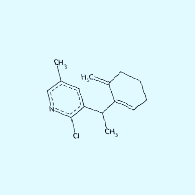 C=C1CCCC=C1C(C)c1cc(C)cnc1Cl